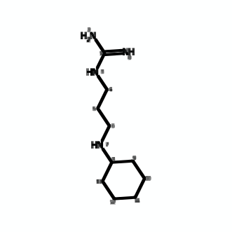 N=C(N)NCCCNC1CCCCC1